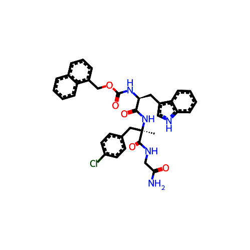 C[C@](Cc1ccc(Cl)cc1)(NC(=O)[C@H](Cc1c[nH]c2ccccc12)NC(=O)OCc1cccc2ccccc12)C(=O)NCC(N)=O